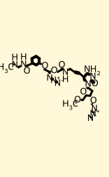 CNCNC(=O)c1cccc(OCC(N=[N+]=[N-])OCC(=O)NCC#Cc2cn(C3CC(OCN=[N+]=[N-])C(COC)O3)c(=O)nc2N)c1